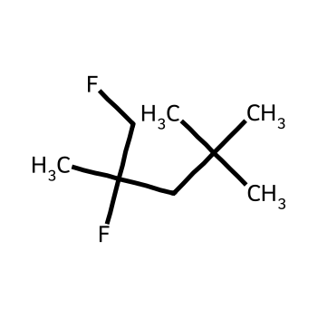 CC(C)(C)CC(C)(F)CF